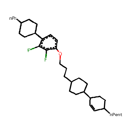 CCCCCC1C=CC(C2CCC(CCCOc3ccc(C4CCC(CCC)CC4)c(F)c3F)CC2)CC1